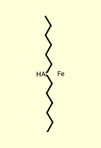 CCCCC[CH2][AlH][CH2]CCCCC.[Fe]